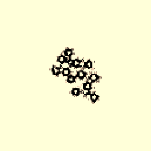 c1ccc(-c2cc(N3c4ccccc4Sc4cc5c(-c6ccccc6)cn(-c6cccc7c8cccnc8n(-c8ccccc8)c67)c5cc43)cc(-n3c4ccccc4c4cc5c(-c6ccccc6)cn(-c6ccccc6)c5cc43)c2)cc1